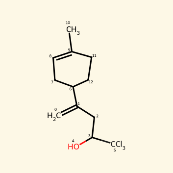 C=C(CC(O)C(Cl)(Cl)Cl)C1CC=C(C)CC1